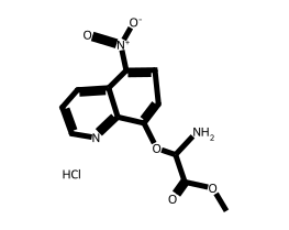 COC(=O)C(N)Oc1ccc([N+](=O)[O-])c2cccnc12.Cl